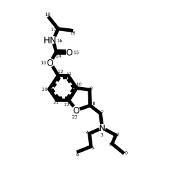 CCCN(CCC)CC1Cc2cc(OC(=O)NC(C)C)ccc2O1